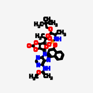 C=C(Nc1ncnc2c1ncn2[C@@H]1O[C@H](C(C)OP(=O)(NC(C)C(=O)OCC(C)(C)C)Oc2cccc3ccccc23)C2OC(=O)OC21)OC